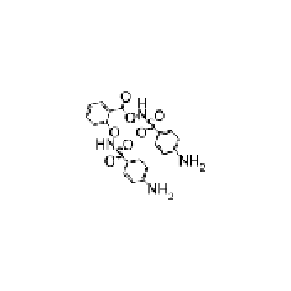 Nc1ccc(S(=O)(=O)NOC(=O)c2ccccc2ONS(=O)(=O)c2ccc(N)cc2)cc1